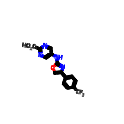 O=C(O)c1ncc(Nc2nc(-c3ccc(C(F)(F)F)cc3)co2)cn1